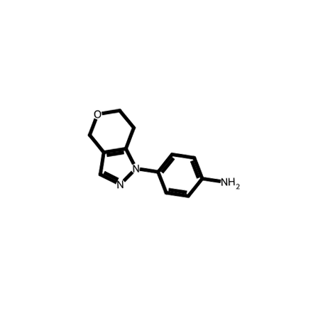 Nc1ccc(-n2ncc3c2CCOC3)cc1